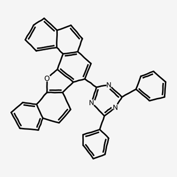 c1ccc(-c2nc(-c3ccccc3)nc(-c3cc4ccc5ccccc5c4c4oc5c6ccccc6ccc5c34)n2)cc1